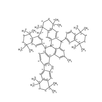 Cc1cc2c3c(c1)N(c1ccc4c(c1)C(C)(C)CCC4(C)C)c1cc4c(cc1B3N(c1ccc3c(c1)C(C)(C)CCC3(C)C)c1ccc3c(oc5cc6c(cc53)C(C)(C)CCC6(C)C)c1-2)C(C)(C)CCC4(C)C